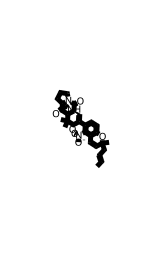 C/C=C/CC1(C)C=Cc2c(ccc(C3=C[C@@]45NC(=O)C6(CCCN6C4=O)CC5C(C)(C)C3=O)c2[N+](=O)[O-])O1